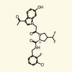 CC(=O)c1cn(CC(=O)N2CC(C(F)F)C[C@H]2C(=O)NCc2cccc(Cl)c2F)c2cc(O)ccc12